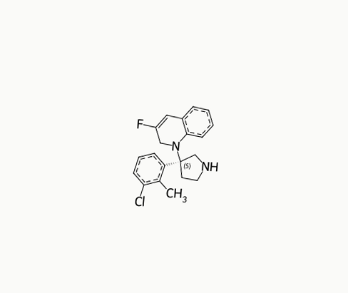 Cc1c(Cl)cccc1[C@@]1(N2CC(F)=Cc3ccccc32)CCNC1